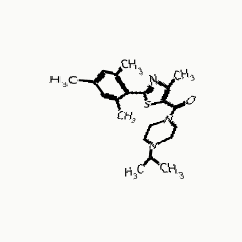 Cc1cc(C)c(-c2nc(C)c(C(=O)N3CCN(C(C)C)CC3)s2)c(C)c1